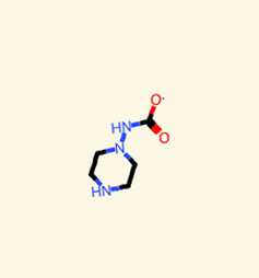 [O]C(=O)NN1CCNCC1